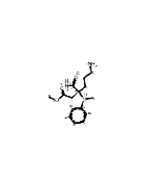 COC(=O)C[C@](CCCN)(C(N)=O)N(C)c1ccccc1